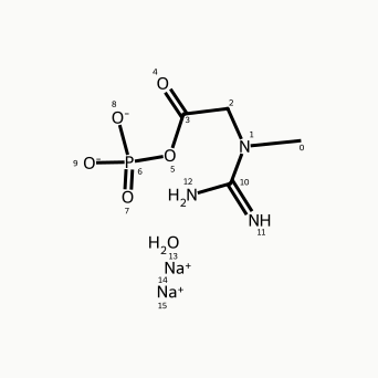 CN(CC(=O)OP(=O)([O-])[O-])C(=N)N.O.[Na+].[Na+]